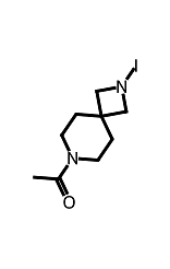 CC(=O)N1CCC2(CC1)CN(I)C2